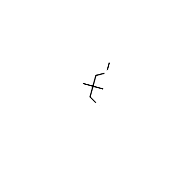 CSCC(C)(C)CS